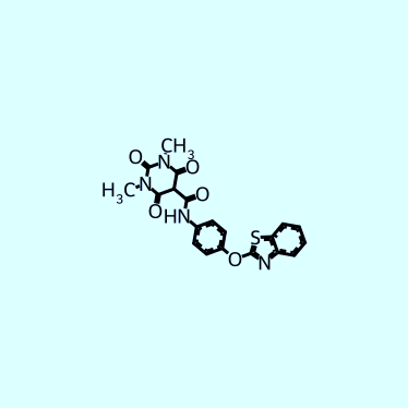 CN1C(=O)C(C(=O)Nc2ccc(Oc3nc4ccccc4s3)cc2)C(=O)N(C)C1=O